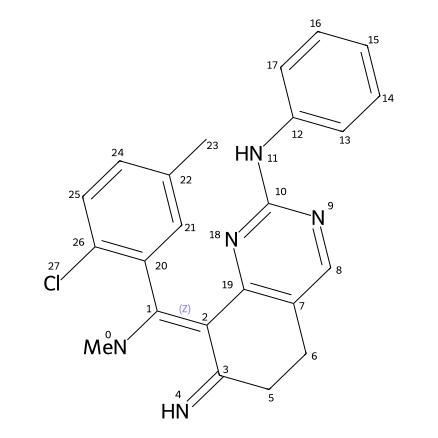 CN/C(=C1\C(=N)CCc2cnc(Nc3ccccc3)nc21)c1cc(C)ccc1Cl